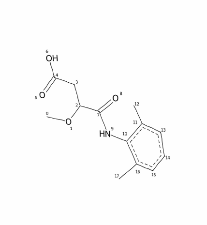 COC(CC(=O)O)C(=O)Nc1c(C)cccc1C